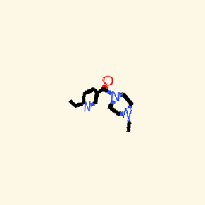 CCc1ccc(C(=O)N2CCN(CC)CC2)cn1